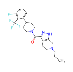 CCCN1CCc2c(C(=O)N3CCC(c4cccc(F)c4C(F)(F)F)CC3)n[nH]c2C1